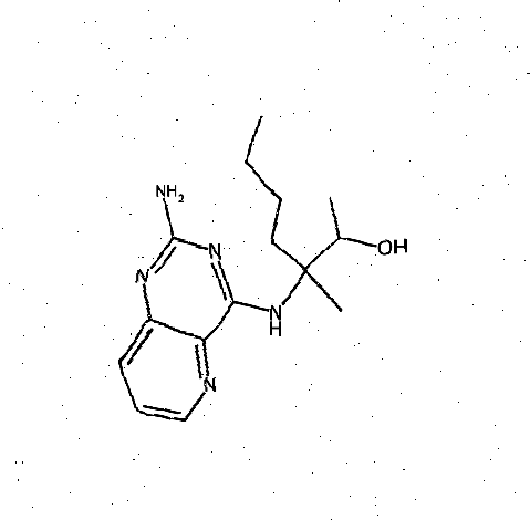 CCCCC(C)(Nc1nc(N)nc2cccnc12)C(C)O